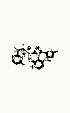 COc1cc[nH]c(=O)c1-n1c(NS(=O)(=O)[C@@H](C)[C@H](C)c2nccc(C)n2)nnc1-c1ccc(C)o1